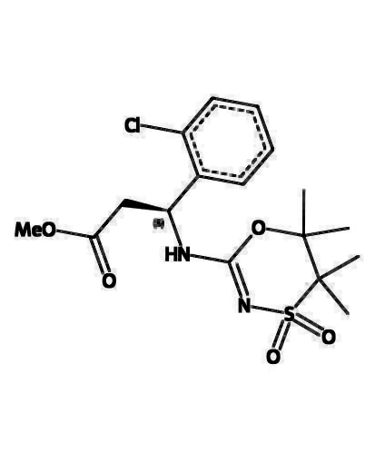 COC(=O)C[C@H](NC1=NS(=O)(=O)C(C)(C)C(C)(C)O1)c1ccccc1Cl